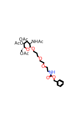 CC(=O)N[C@H]1[C@H](OCCCOCCOCCNC(=O)OCc2ccccc2)O[C@H](COC(C)=O)[C@H](OC(C)=O)[C@@H]1OC(C)=O